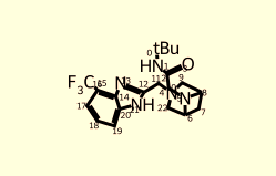 CC(C)(C)NC(=O)CN1C2CC1CN(Cc1nc3c(C(F)(F)F)cccc3[nH]1)C2